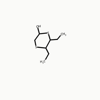 CCC1SCC(O)SC1CC